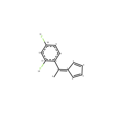 CC(=C1C=CC=C1)c1ccc(F)cc1F